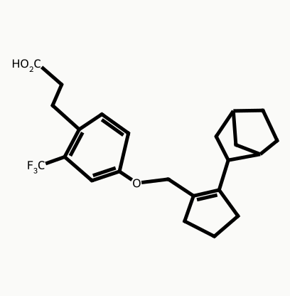 O=C(O)CCc1ccc(OCC2=C(C3CC4CCC3C4)CCC2)cc1C(F)(F)F